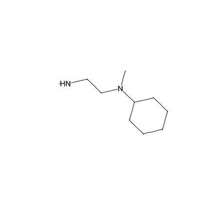 CN(CC[NH])C1CCCCC1